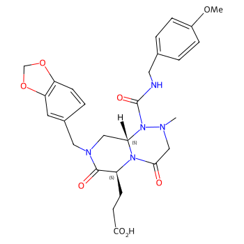 COc1ccc(CNC(=O)N2[C@H]3CN(Cc4ccc5c(c4)OCO5)C(=O)[C@H](CCC(=O)O)N3C(=O)CN2C)cc1